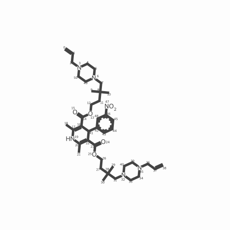 C=CCN1CCN(CC(C)(C)CCOC(=O)C2=C(C)NC(C)=C(C(=O)OCCC(C)(C)CN3CCN(CC=C)CC3)C2c2cccc([N+](=O)[O-])c2)CC1